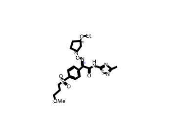 CCO[C@@H]1CC[C@@H](O/N=C(/C(=O)Nc2nc(C)ns2)c2ccc(S(=O)(=O)CCCOC)cc2)C1